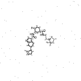 Cn1nccc1-c1ccc2c(C(=O)Nc3cc(C(=O)NCCN4CCCC4(C)C)ccc3F)cnn2c1